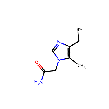 Cc1c(CC(C)C)ncn1CC(N)=O